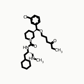 CCC(=O)CCCOC(c1cccc(Cl)c1)[C@@H]1CCCN(C(=O)N[C@H](CNC)CC2CCCCC2)C1